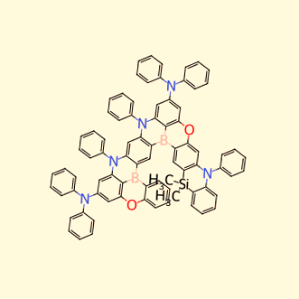 C[Si]1(C)c2ccccc2N(c2ccccc2)c2cc3c(cc21)B1c2cc4c(cc2N(c2ccccc2)c2cc(N(c5ccccc5)c5ccccc5)cc(c21)O3)N(c1ccccc1)c1cc(N(c2ccccc2)c2ccccc2)cc2c1B4c1ccccc1O2